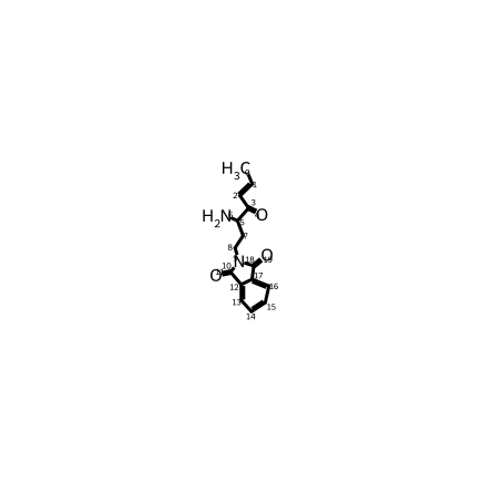 CC=CC(=O)C(N)CCN1C(=O)c2ccccc2C1=O